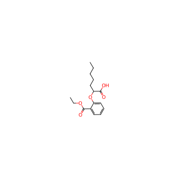 CCCCCC(Oc1ccccc1C(=O)OCC)C(=O)O